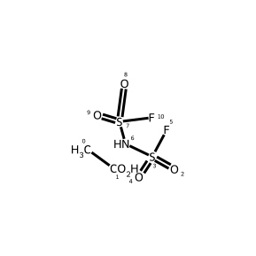 CC(=O)O.O=S(=O)(F)NS(=O)(=O)F